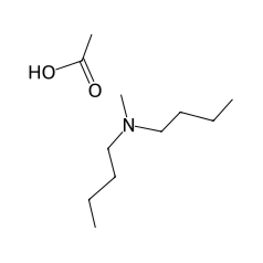 CC(=O)O.CCCCN(C)CCCC